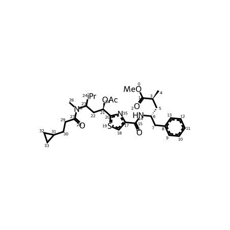 COC(=O)[C@@H](C)C[C@H](Cc1ccccc1)NC(=O)c1csc([C@@H](CC(C(C)C)N(C)C(=O)CCC2CC2)OC(C)=O)n1